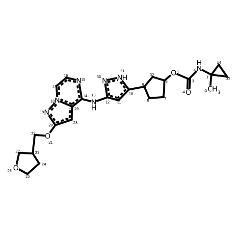 CC1(NC(=O)OC2CCC(c3cc(Nc4nccn5nc(OCC6CCOC6)cc45)n[nH]3)C2)CC1